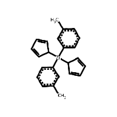 Cc1ccc[c]([Zr]([c]2cccc(C)c2)([CH]2C=CC=C2)[CH]2C=CC=C2)c1